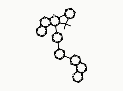 CC1(C)c2ccccc2-c2nc3ccc4ccccc4c3c(-c3ccc(-c4cccc(-c5ccc6ccc7cccnc7c6n5)c4)cc3)c21